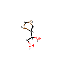 OCC(O)C1CSCS1